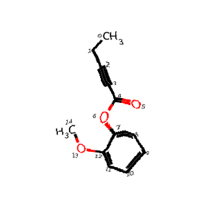 CCC#CC(=O)Oc1ccccc1OC